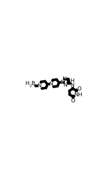 BCN1CCC(N2CCC(n3ncc(NC4CCC(=O)NC4=O)n3)CC2)CC1